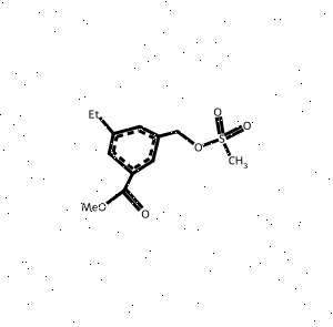 CCc1cc(COS(C)(=O)=O)cc(C(=O)OC)c1